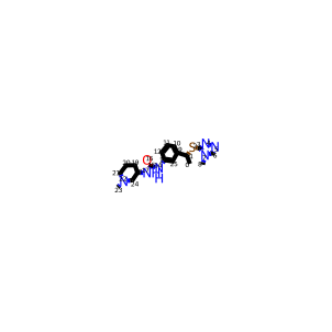 CC(Sc1nncn1C)c1cccc(NC(=O)NC2CCCN(C)C2)c1